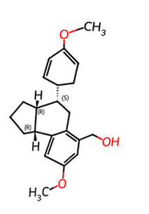 COC1=CCC([C@@H]2Cc3c(CO)cc(OC)cc3[C@@H]3CCC[C@@H]32)C=C1